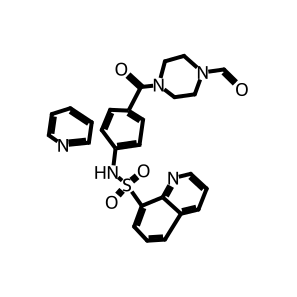 O=CN1CCN(C(=O)c2ccc(NS(=O)(=O)c3cccc4cccnc34)cc2)CC1.c1ccncc1